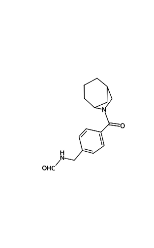 O=CNCc1ccc(C(=O)N2CC3CCCC2C3)cc1